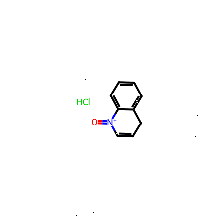 Cl.O=[N+]1C=CCc2ccccc21